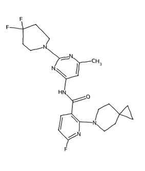 Cc1cc(NC(=O)c2ccc(F)nc2N2CCC3(CC2)CC3)nc(N2CCC(F)(F)CC2)n1